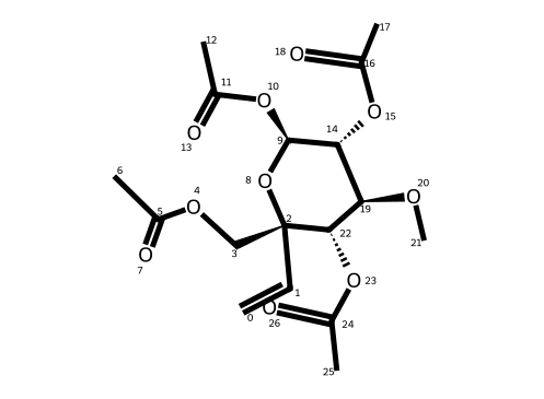 C=C[C@]1(COC(C)=O)O[C@@H](OC(C)=O)[C@H](OC(C)=O)[C@@H](OC)[C@@H]1OC(C)=O